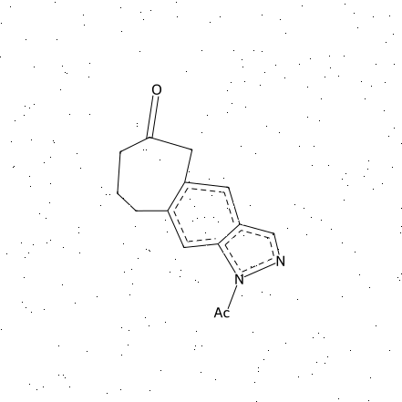 CC(=O)n1ncc2cc3c(cc21)CCCC(=O)C3